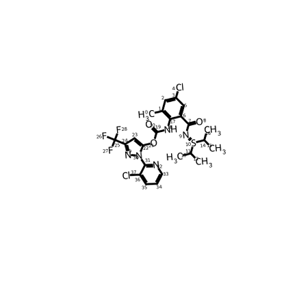 Cc1cc(Cl)cc(C(=O)N=S(C(C)C)C(C)C)c1NC(=O)Oc1cc(C(F)(F)F)nn1-c1ncccc1Cl